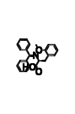 COc1ccccc1C[C@H](N=C(c1ccccc1)c1ccccc1)C(=O)O